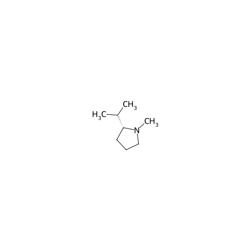 CC(C)[C@H]1CCCN1C